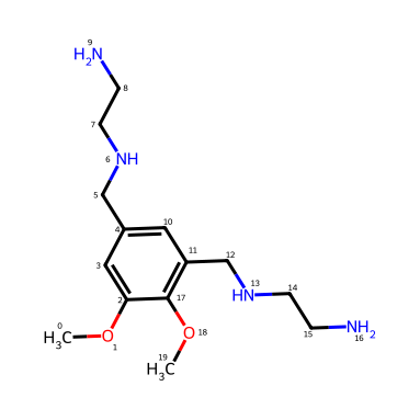 COc1cc(CNCCN)cc(CNCCN)c1OC